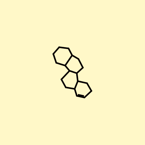 C1=CC2CCC3C4CCCCC4CCC3C2CC1